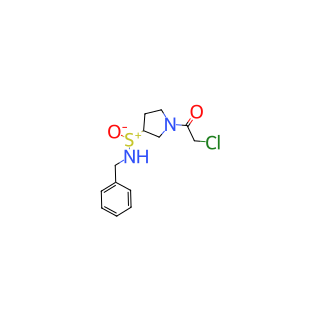 O=C(CCl)N1CCC([S+]([O-])NCc2ccccc2)C1